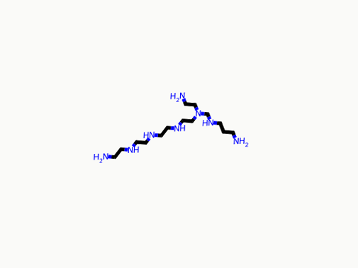 NCCCNCN(CCN)CCNCCNCCNCCN